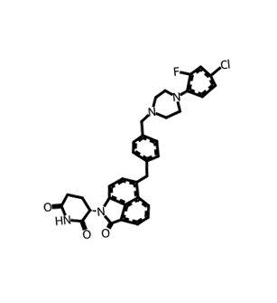 O=C1CC[C@H](N2C(=O)c3cccc4c(Cc5ccc(CN6CCN(c7ccc(Cl)cc7F)CC6)cc5)ccc2c34)C(=O)N1